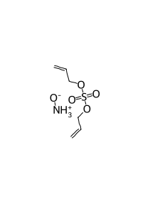 C=CCOS(=O)(=O)OCC=C.[NH3+][O-]